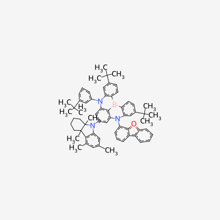 Cc1cc(C)c2c(c1)N(c1cc3c4c(c1)N(c1cccc5c1oc1ccccc15)c1cc(C(C)(C)C)ccc1B4c1ccc(C(C)(C)C)cc1N3c1cccc(C(C)(C)C)c1)C1(C)CCCCC21C